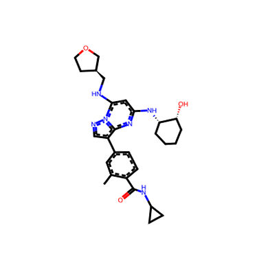 Cc1cc(-c2cnn3c(NC[C@H]4CCOC4)cc(N[C@H]4CCCC[C@H]4O)nc23)ccc1C(=O)NC1CC1